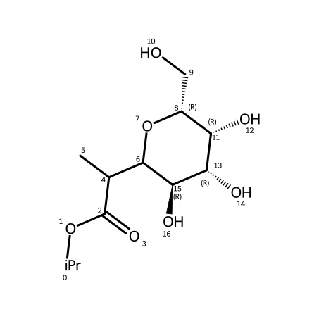 CC(C)OC(=O)C(C)C1O[C@H](CO)[C@H](O)[C@H](O)[C@H]1O